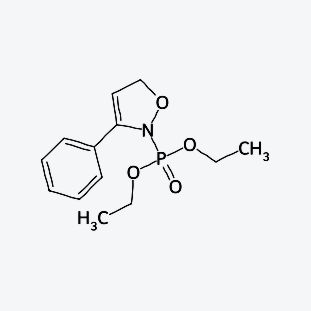 CCOP(=O)(OCC)N1OCC=C1c1ccccc1